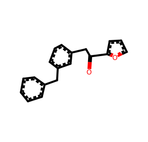 O=C(Cc1cccc(Cc2ccccc2)c1)c1ccco1